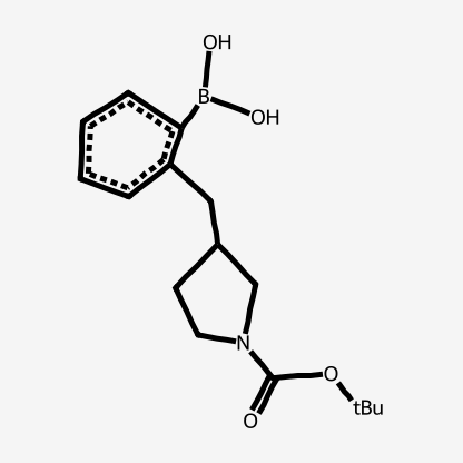 CC(C)(C)OC(=O)N1CCC(Cc2ccccc2B(O)O)C1